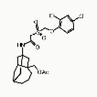 CC(=O)OCC12CCCC3CC1CC(NC(=O)CS(=O)(=O)COc1ccc(Cl)cc1Cl)(C3)C2